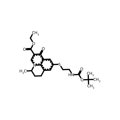 CCOC(=O)c1cn2c3c(cc(SCCNC(=O)OC(C)(C)C)cc3c1=O)CCC2C